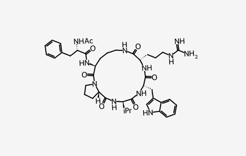 CC(=O)N[C@@H](Cc1ccccc1)C(=O)N[C@H]1CCCNC(=O)[C@H](CCCNC(=N)N)NC(=O)[C@H](Cc2c[nH]c3ccccc23)NC(=O)[C@@H](C(C)C)NC(=O)[C@@H]2CCCN2C1=O